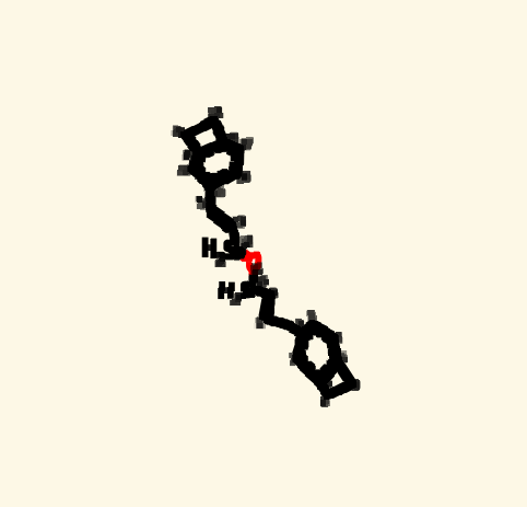 C(=Cc1ccc2c(c1)CC2)[SiH2]O[SiH2]C=Cc1ccc2c(c1)CC2